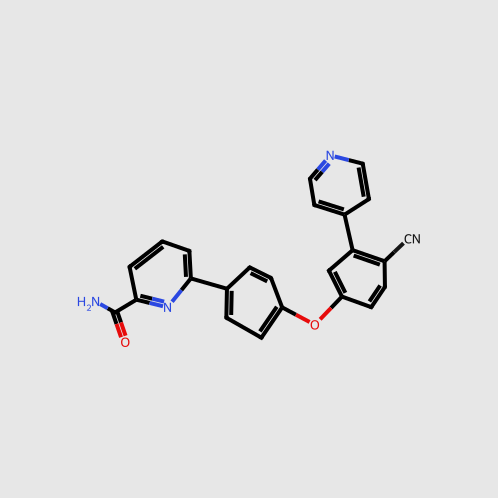 N#Cc1ccc(Oc2ccc(-c3cccc(C(N)=O)n3)cc2)cc1-c1ccncc1